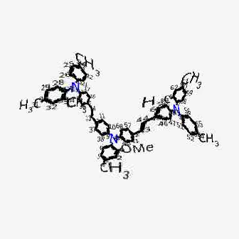 COc1cc(C)ccc1N(c1ccc(/C=C/c2ccc(N(c3ccc(C)cc3)c3ccc(C)cc3C)cc2)cc1)c1ccc(/C=C/c2ccc(N(c3ccc(C)cc3)c3ccc(C)cc3C)cc2)cc1